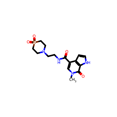 Cn1cc(C(=O)NCCN2CCS(=O)(=O)CC2)c2cc[nH]c2c1=O